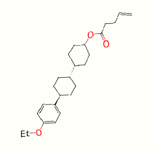 C=CCCC(=O)OC1CCC([C@H]2CC[C@H](c3ccc(OCC)cc3)CC2)CC1